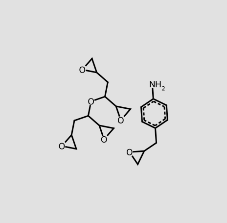 C1OC1CC(OC(CC1CO1)C1CO1)C1CO1.Nc1ccc(CC2CO2)cc1